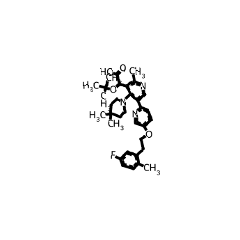 Cc1ccc(F)cc1CCOc1ccc(-c2cnc(C)c(C(OC(C)(C)C)C(=O)O)c2N2CCC(C)(C)CC2)nc1